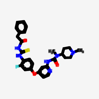 CN1CCC(N(C)C(=O)Nc2cc(Oc3ccc(NC(=S)NC(=O)Cc4ccccc4)c(F)c3)ccn2)CC1